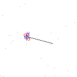 CCCCCCCCCCCCCCCCCCCCCC(=O)NC(CCC)(C(=O)[O-])[N+](C)(C)C